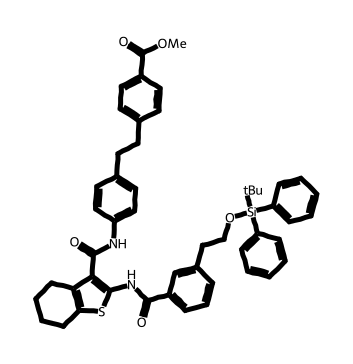 COC(=O)c1ccc(CCc2ccc(NC(=O)c3c(NC(=O)c4cccc(CCO[Si](c5ccccc5)(c5ccccc5)C(C)(C)C)c4)sc4c3CCCC4)cc2)cc1